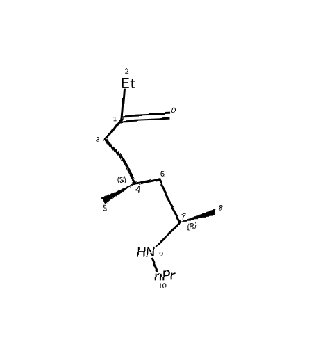 C=C(CC)C[C@H](C)C[C@@H](C)NCCC